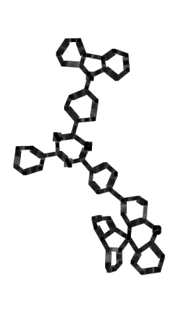 c1ccc(-c2nc(-c3ccc(-c4ccc5c(c4)C4(c6ccccc6O5)c5ccccc5-c5ccccc54)cc3)nc(-c3ccc(-n4c5ccccc5c5ccccc54)cc3)n2)cc1